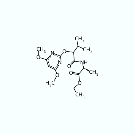 CCOC(=O)[C@H](C)NC(=O)C(Oc1nc(OC)cc(OC)n1)C(C)C